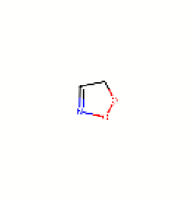 C1=NOOC1